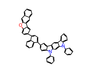 c1ccc(-n2c3ccccc3c3cc4c5cc(-c6ccc(-c7ccc8oc9cc%10ccccc%10cc9c8c7)c7ccccc67)ccc5n(-c5ccccc5)c4cc32)cc1